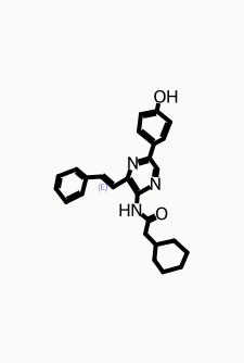 O=C(CC1CCCCC1)Nc1ncc(-c2ccc(O)cc2)nc1/C=C/c1ccccc1